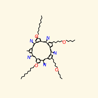 CCCCCCCCCCOc1cc2cc(c1)/C(C#N)=C/c1cc(CCCCCOCCCCC)cc(c1)/C(C#N)=C/c1cc(CCCCCOCCCCC)cc(c1)/C(C#N)=C/c1cc(OCCCCCCCCCC)cc(c1)/C(C#N)=C/c1cc(C)cc(c1)/C(C#N)=C/2